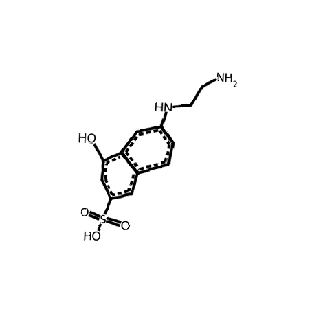 NCCNc1ccc2cc(S(=O)(=O)O)cc(O)c2c1